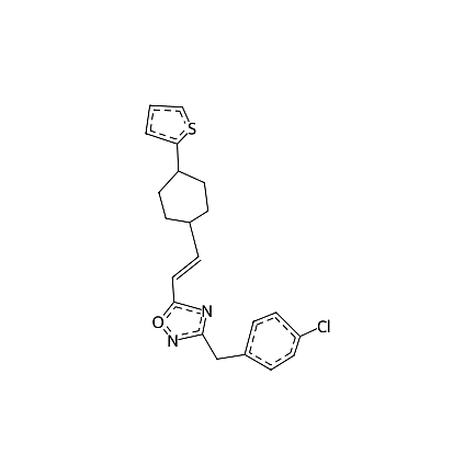 Clc1ccc(Cc2noc(C=CC3CCC(c4cccs4)CC3)n2)cc1